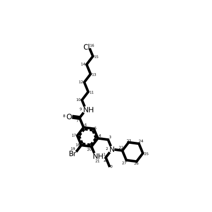 CCN(Cc1cc(C(=O)NCCCCCCCl)cc(Br)c1N)C1CCCCC1